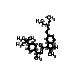 CCN(CC)CCc1ccc2[nH]c(C)c(C(=O)OC(C)c3ccc(C(C)(C)C)cc3)c2c1